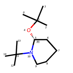 CC(C)(C)O[C@@H]1CCCCN1C(C)(C)C